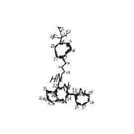 FC(F)(F)c1ccc(CCCNc2nc(-c3ccccn3)nc3sccc23)cc1